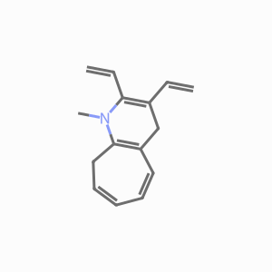 C=CC1=C(C=C)N(C)C2=C(C=CC=CC2)C1